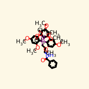 COc1cc(OC)c([PH](CCCNC(=O)c2ccccc2)(c2c(OC)cc(OC)cc2OC)c2c(OC)cc(OC)cc2OC)c(OC)c1